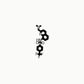 CN(C)Cc1ccc2cccc(NS(=O)(=O)c3ccc(C(F)(F)F)cc3)c2n1